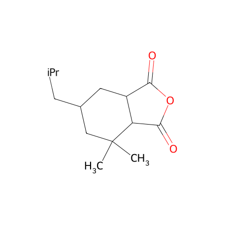 CC(C)CC1CC2C(=O)OC(=O)C2C(C)(C)C1